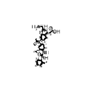 COc1cc(N(C(C)=O)c2ccc([C@@H](CC(=O)O)NC(=O)CN)cc2)ccc1NC(=O)Nc1ccccc1C